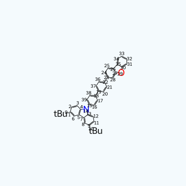 CC(C)(C)c1ccc2c(c1)c1cc(C(C)(C)C)ccc1n2-c1ccc(-c2ccc(-c3ccc4c(c3)oc3ccccc34)cc2)cc1